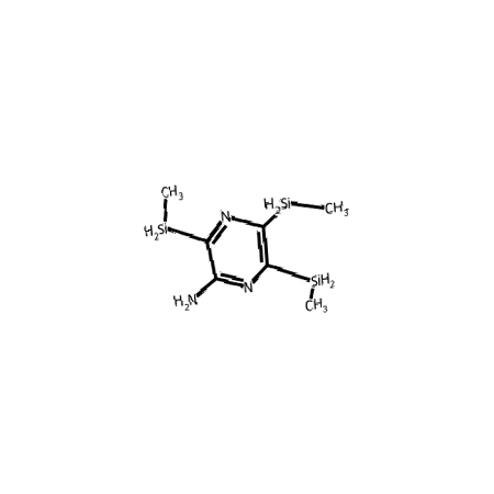 C[SiH2]c1nc([SiH2]C)c([SiH2]C)nc1N